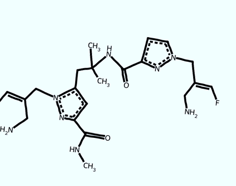 CNC(=O)c1cc(CC(C)(C)NC(=O)c2ccn(C/C(=C/F)CN)n2)n(C/C(=C/F)CN)n1